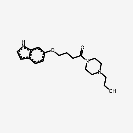 O=C(CCCOc1ccc2cc[nH]c2c1)N1CCN(CCO)CC1